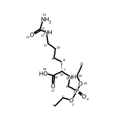 CCOP(=O)(CN[C@@H](CCCCNC(N)=O)C(=O)O)OCC